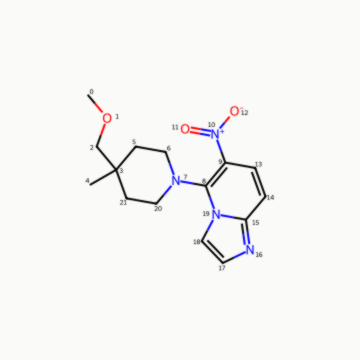 COCC1(C)CCN(c2c([N+](=O)[O-])ccc3nccn23)CC1